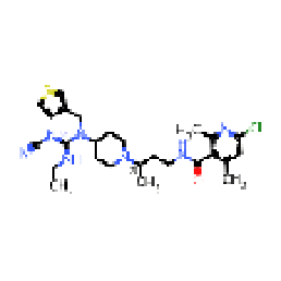 CCN/C(=N\C#N)N(Cc1ccsc1)C1CCN([C@H](C)CCNC(=O)c2c(C)cc(Cl)nc2C)CC1